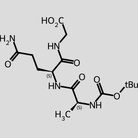 C[C@H](NC(=O)OC(C)(C)C)C(=O)N[C@@H](CCC(N)=O)C(=O)NCC(=O)O